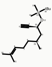 C#C[C@H](C[C@@H](C)CCC=C(C)C)O[Si](C)(C)C(C)(C)C